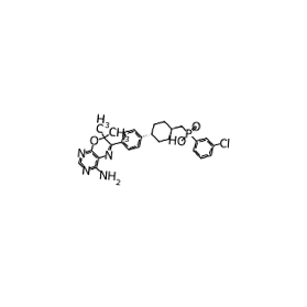 CC1(C)Oc2ncnc(N)c2N=C1c1ccc([C@H]2CC[C@H](CP(=O)(O)c3cccc(Cl)c3)CC2)cc1